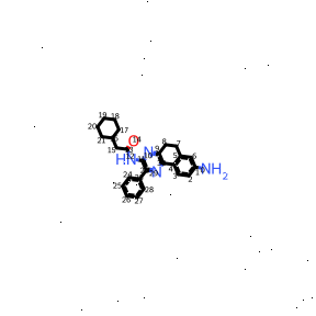 Nc1ccc2c(c1)CCc1nc(NC(=O)CC3CCCCC3)c(-c3ccccc3)nc1-2